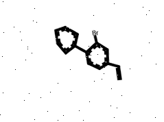 C=Cc1ccc(-c2ccccc2)c(Br)c1